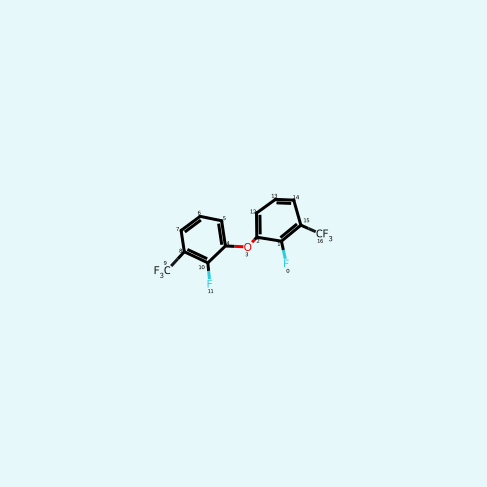 Fc1c(Oc2cccc(C(F)(F)F)c2F)cccc1C(F)(F)F